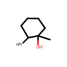 CCCC1CCCCC1(C)O